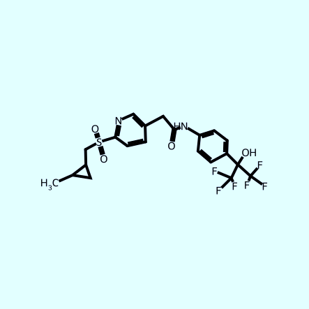 CC1CC1CS(=O)(=O)c1ccc(CC(=O)Nc2ccc(C(O)(C(F)(F)F)C(F)(F)F)cc2)cn1